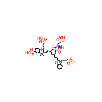 CC1(C)C(/C=C/C2=CC(=C/C=C3\Oc4ccccc4N3CCCS(=O)(=O)O)/CC(C(=O)O)(C(=O)NCCS(=O)(=O)O)C2)=[N+](CCCS(=O)(=O)O)c2ccc(S(=O)(=O)O)cc21